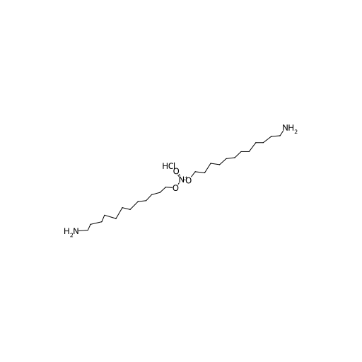 Cl.NCCCCCCCCCCCCO[N+](=O)OCCCCCCCCCCCCN